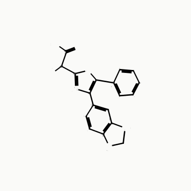 O=C(O)C(S)c1nc(-c2ccc3c(c2)OCO3)c(-c2ccccc2)o1